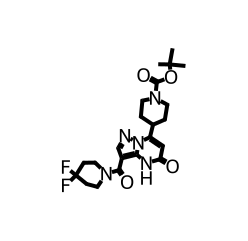 CC(C)(C)OC(=O)N1CCC(c2cc(=O)[nH]c3c(C(=O)N4CCC(F)(F)CC4)cnn23)CC1